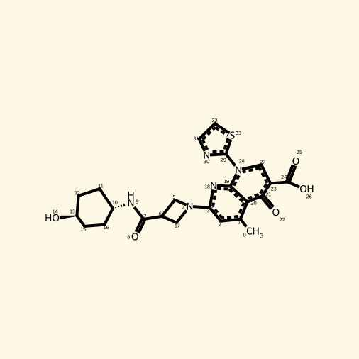 Cc1cc(N2CC(C(=O)N[C@H]3CC[C@H](O)CC3)C2)nc2c1c(=O)c(C(=O)O)cn2-c1nccs1